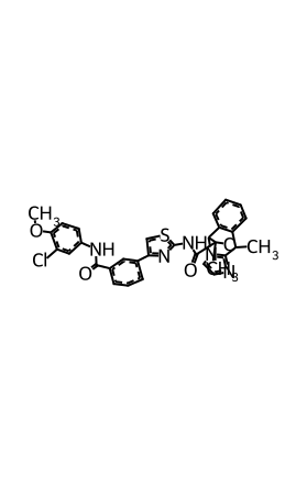 COc1ccc(NC(=O)c2cccc(-c3csc(NC(=O)C4(C)CC5(C)c6ccccc6C4n4ccnc45)n3)c2)cc1Cl